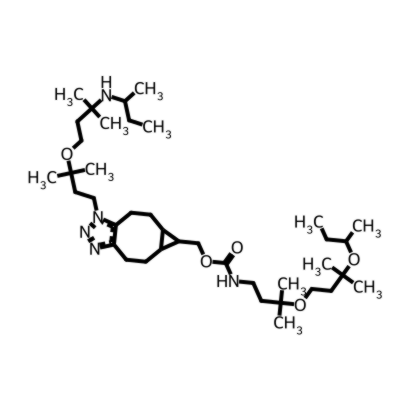 CCC(C)NC(C)(C)CCOC(C)(C)CCn1nnc2c1CCC1C(CC2)C1COC(=O)NCCC(C)(C)OCCC(C)(C)OC(C)CC